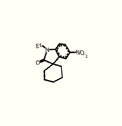 CCN1C(=O)C2(CCCCC2)c2cc([N+](=O)[O-])ccc21